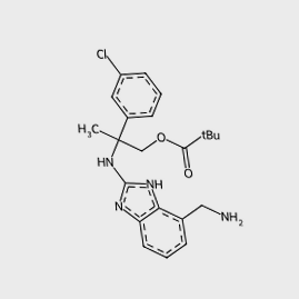 CC(C)(C)C(=O)OCC(C)(Nc1nc2cccc(CN)c2[nH]1)c1cccc(Cl)c1